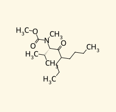 CCCCC(CCC)C(=O)[C@H](C(C)C)N(C)C(=O)OC